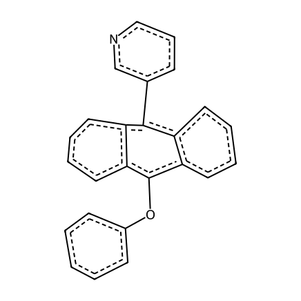 c1ccc(Oc2c3ccccc3c(-c3cccnc3)c3ccccc23)cc1